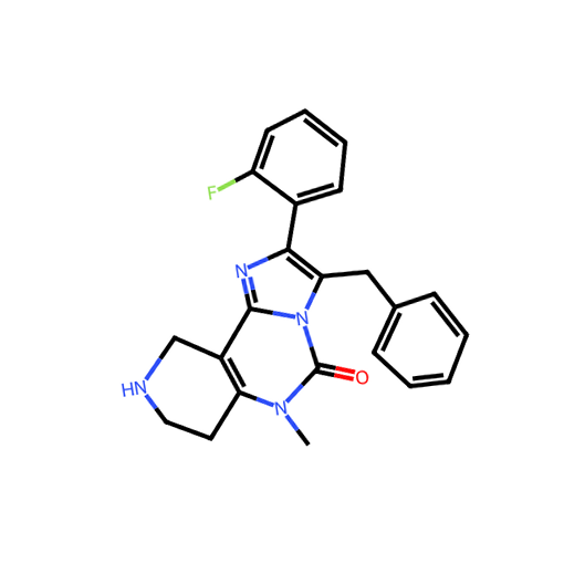 Cn1c2c(c3nc(-c4ccccc4F)c(Cc4ccccc4)n3c1=O)CNCC2